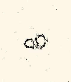 [c]1cccnn1.[c]1ncncn1